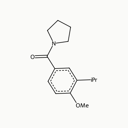 COc1ccc(C(=O)N2CCCC2)cc1C(C)C